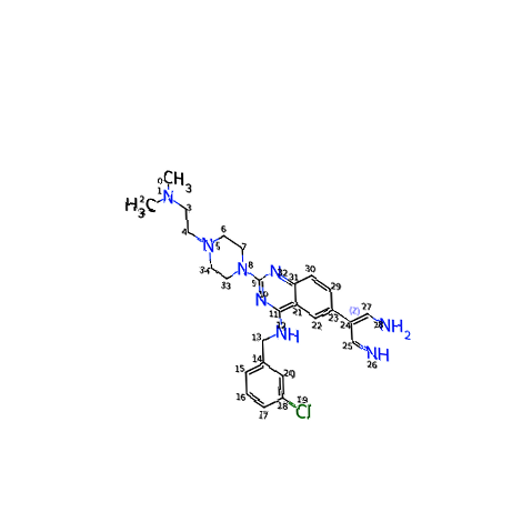 CN(C)CCN1CCN(c2nc(NCc3cccc(Cl)c3)c3cc(/C(C=N)=C/N)ccc3n2)CC1